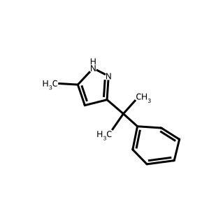 Cc1cc(C(C)(C)c2ccccc2)n[nH]1